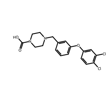 O=C(O)N1CCN(Cc2cccc(Oc3ccc(Cl)c(Cl)c3)c2)CC1